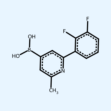 Cc1cc(B(O)O)cc(-c2cccc(F)c2F)n1